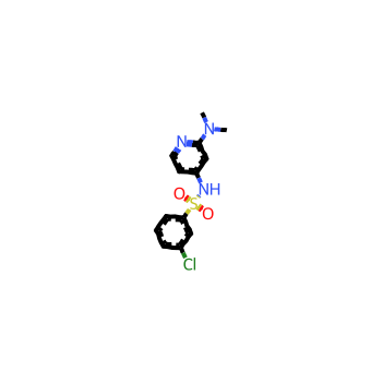 CN(C)c1cc(NS(=O)(=O)c2cccc(Cl)c2)ccn1